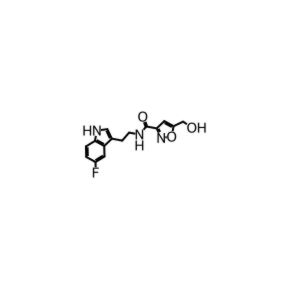 O=C(NCCc1c[nH]c2ccc(F)cc12)c1cc(CO)on1